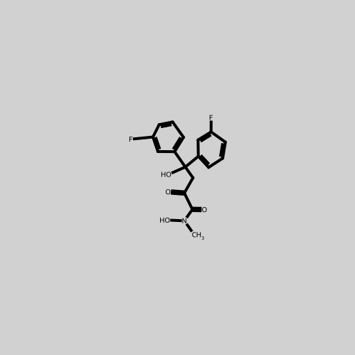 CN(O)C(=O)C(=O)CC(O)(c1cccc(F)c1)c1cccc(F)c1